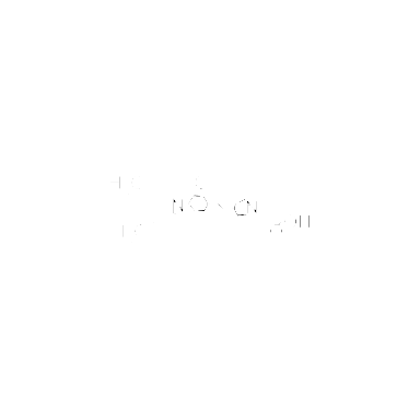 CCCCCCN(CCCCCC)c1ccc(/C=C/c2cc[n+](CCCC(=O)O)cc2)cc1.[Cl-]